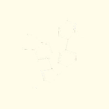 COc1ccc(C2(c3cccc(-c4cccnc4F)c3)COC(N)=N2)cc1C